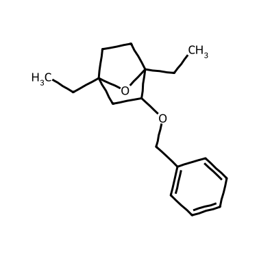 CCC12CCC(CC)(O1)C(OCc1ccccc1)C2